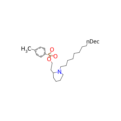 CCCCCCCCCCCCCCCCCCN1CCCCC1CCOS(=O)(=O)c1ccc(C)cc1